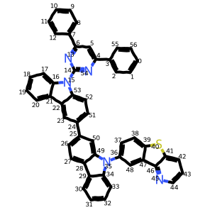 c1ccc(-c2cc(-c3ccccc3)nc(-n3c4ccccc4c4cc(-c5ccc6c7ccccc7n(-c7ccc8sc9cccnc9c8c7)c6c5)ccc43)n2)cc1